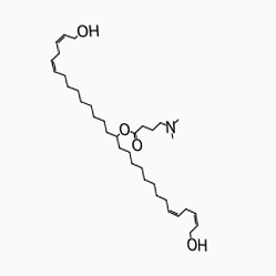 CN(C)CCCC(=O)OC(CCCCCCCC/C=C\C/C=C\CO)CCCCCCCC/C=C\C/C=C\CO